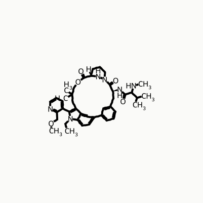 CCn1c(-c2cccnc2COC)c2c3cc(ccc31)-c1cccc(c1)C[C@H](NC(=O)C(NC)C(C)C)C(=O)N1CCC[C@H](N1)C(=O)OCC(C)(C)C2